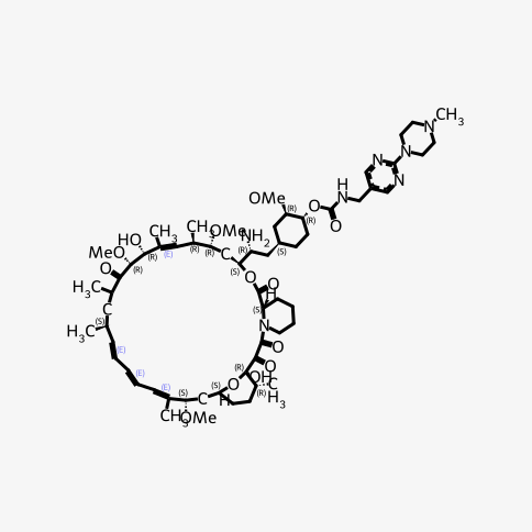 CO[C@H]1C[C@@H]2CC[C@@H](C)[C@@](O)(O2)C(=O)C(=O)N2CCCC[C@H]2C(=O)O[C@H]([C@H](N)C[C@@H]2CC[C@@H](OC(=O)NCc3cnc(N4CCN(C)CC4)nc3)[C@H](OC)C2)C[C@@H](OC)[C@H](C)/C=C(\C)[C@@H](O)[C@@H](OC)C(=O)C(C)C[C@H](C)/C=C/C=C/C=C/1C